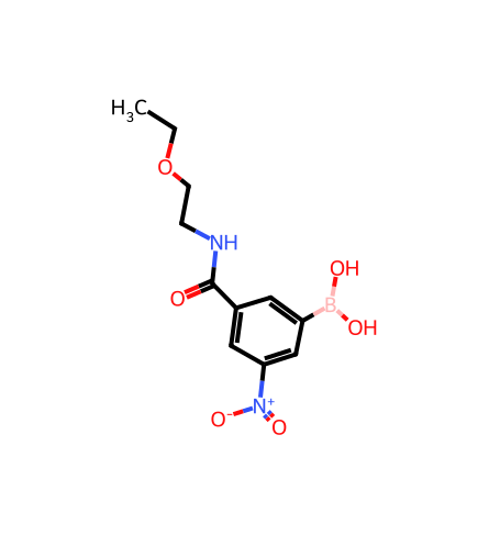 CCOCCNC(=O)c1cc(B(O)O)cc([N+](=O)[O-])c1